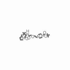 CC1CCCN1C(=O)C(NC(=O)COCCN1CCN(C(=O)OC(C)(C)C)CC1)C(C)(C)C